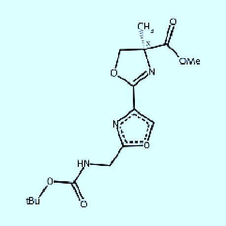 COC(=O)[C@]1(C)COC(c2coc(CNC(=O)OC(C)(C)C)n2)=N1